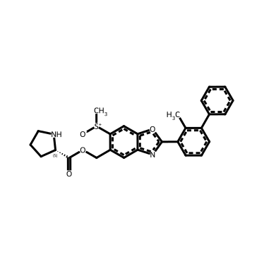 Cc1c(-c2ccccc2)cccc1-c1nc2cc(COC(=O)[C@@H]3CCCN3)c([S+](C)[O-])cc2o1